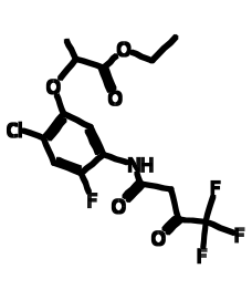 CCOC(=O)C(C)Oc1cc(NC(=O)CC(=O)C(F)(F)F)c(F)cc1Cl